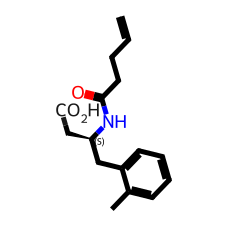 C=CCCC(=O)N[C@H](CC(=O)O)Cc1ccccc1C